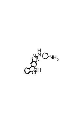 NC1CCC(Nc2ncc3cc(-c4ccccc4Cl)c(O)cc3n2)CC1